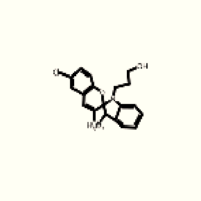 CC1=Cc2cc(Cl)ccc2OC12C(C)c1ccccc1N2CCCO